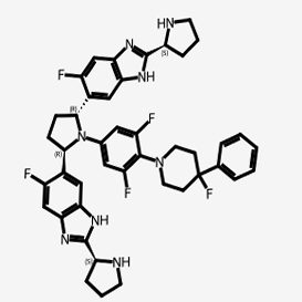 Fc1cc2nc([C@@H]3CCCN3)[nH]c2cc1[C@H]1CC[C@H](c2cc3[nH]c([C@@H]4CCCN4)nc3cc2F)N1c1cc(F)c(N2CCC(F)(c3ccccc3)CC2)c(F)c1